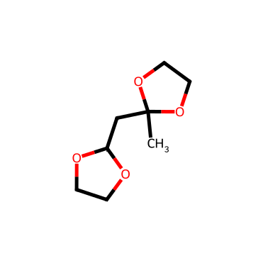 CC1(C[C]2OCCO2)OCCO1